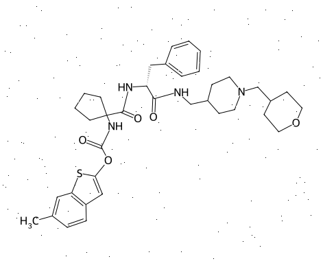 Cc1ccc2cc(OC(=O)NC3(C(=O)N[C@H](Cc4ccccc4)C(=O)NCC4CCN(CC5CCOCC5)CC4)CCCC3)sc2c1